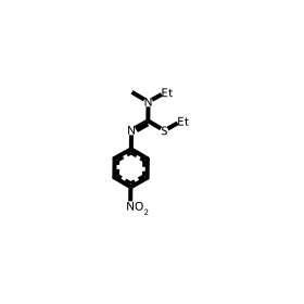 CCSC(=Nc1ccc([N+](=O)[O-])cc1)N(C)CC